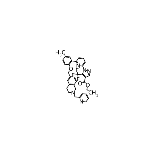 CCOC(=O)c1cnn(-c2cccc(-c3cc(C)ccc3OCc3ccc4c(c3)CCN(Cc3ccccn3)C4)n2)c1C(F)(F)F